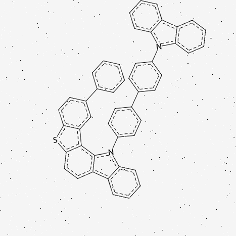 c1ccc(-c2ccc3sc4ccc5c6ccccc6n(-c6ccc(-c7ccc(-n8c9ccccc9c9ccccc98)cc7)cc6)c5c4c3c2)cc1